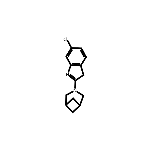 Clc1ccc2c(c1)N=C(N1CC3CC(C3)C1)C2